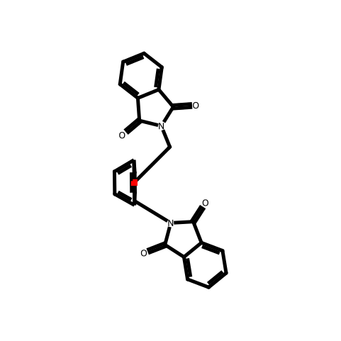 O=C1c2ccccc2C(=O)N1CC1CC(N2C(=O)c3ccccc3C2=O)c2ccc1cc2